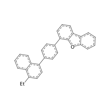 CCc1ccc(-c2ccc(-c3cccc4c3oc3ccccc34)cc2)c2ccccc12